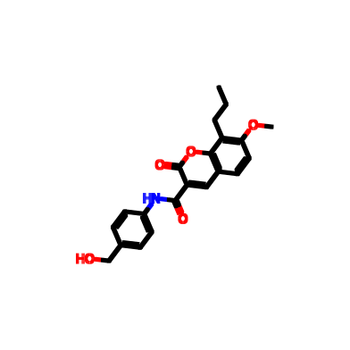 CCCc1c(OC)ccc2cc(C(=O)Nc3ccc(CO)cc3)c(=O)oc12